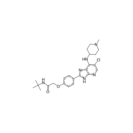 CN1CCC(Nc2c(Cl)cnc3[nH]c(-c4ccc(OCC(=O)NC(C)(C)C)cc4)nc23)CC1